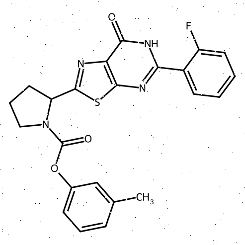 Cc1cccc(OC(=O)N2CCCC2c2nc3c(=O)[nH]c(-c4ccccc4F)nc3s2)c1